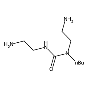 CCCCN(CCN)C(=O)NCCN